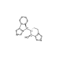 O[C@@H]1c2cncn2CC[C@H]1[C@@H]1c2ccccc2-c2cncn21